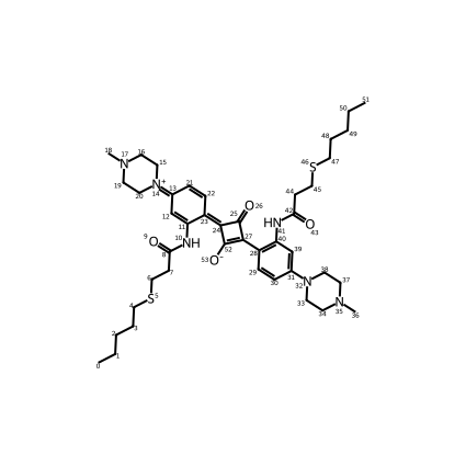 CCCCCSCCC(=O)NC1=CC(=[N+]2CCN(C)CC2)C=C/C1=C1\C(=O)C(c2ccc(N3CCN(C)CC3)cc2NC(=O)CCSCCCCC)=C1[O-]